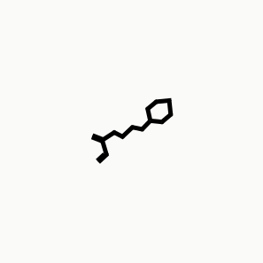 C=CC(=C)CCCCC1CCCCC1